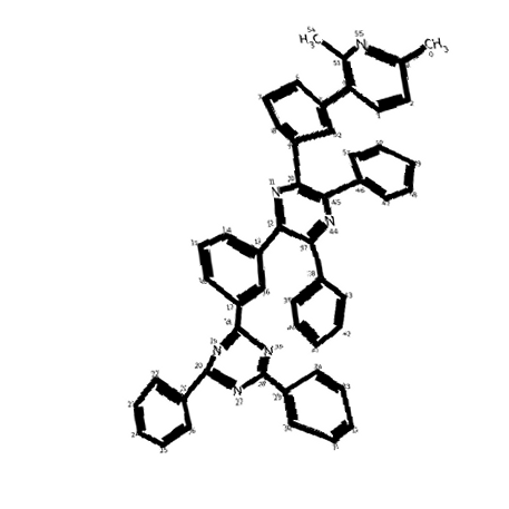 Cc1ccc(-c2cccc(-c3nc(-c4cccc(-c5nc(-c6ccccc6)nc(-c6ccccc6)n5)c4)c(-c4ccccc4)nc3-c3ccccc3)c2)c(C)n1